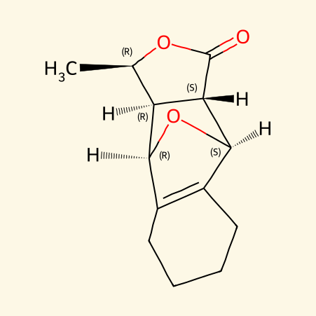 C[C@H]1OC(=O)[C@H]2[C@H]1[C@H]1O[C@@H]2C2=C1CCCC2